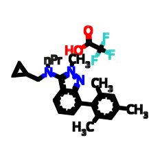 CCCN(CC1CC1)c1c2cccc(-c3c(C)cc(C)cc3C)c2nn1C.O=C(O)C(F)(F)F